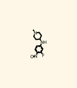 CN1CCC(Nc2ccc(N=O)c(F)c2)CC1